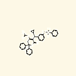 CCC(=O)OC1=C(C(c2cccc(NS(=O)(=O)c3ccccc3)c2)C2CC2)C(=O)OC(c2ccccc2)(c2ccccc2)C1